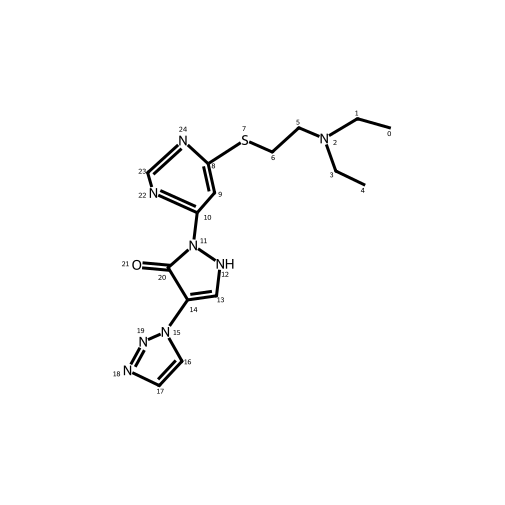 CCN(CC)CCSc1cc(-n2[nH]cc(-n3ccnn3)c2=O)ncn1